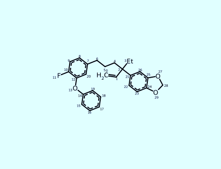 C=CC(CC)(CCCc1ccc(F)c(Oc2ccccc2)c1)c1ccc2c(c1)OCO2